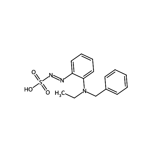 CCN(Cc1ccccc1)c1ccccc1N=NS(=O)(=O)O